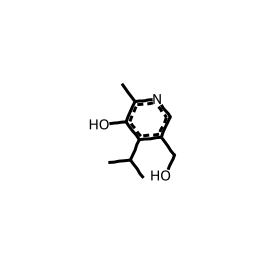 Cc1ncc(CO)c(C(C)C)c1O